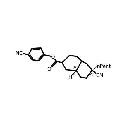 CCCCC[C@]1(C#N)CC[C@@H]2CC(C(=O)Oc3ccc(C#N)cc3)CCC2C1